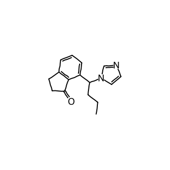 CCCC(c1cccc2c1C(=O)CC2)n1ccnc1